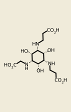 O=C(O)CCN[C@@H]1[C@H](O)[C@H](NCCC(=O)O)[C@H](O)[C@H](NCC(=O)O)[C@@H]1O